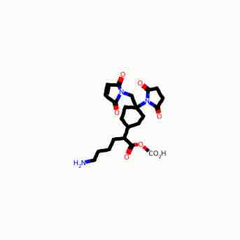 NCCCCC(C(=O)OC(=O)O)C1CCC(CN2C(=O)C=CC2=O)(N2C(=O)CCC2=O)CC1